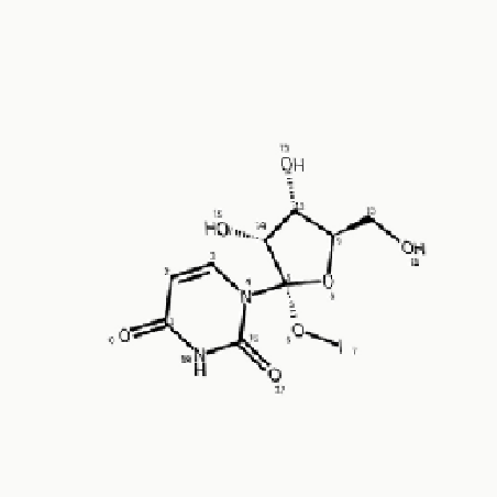 O=c1ccn([C@]2(OI)O[C@H](CO)[C@@H](O)[C@H]2O)c(=O)[nH]1